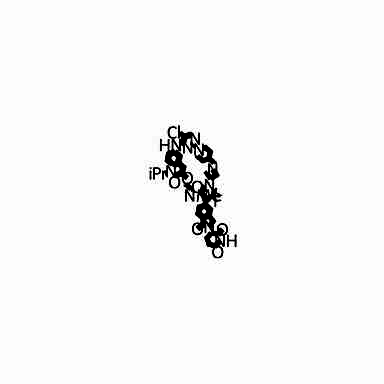 CNC(=O)COc1cc2cc(Nc3nc(N4CCC(CN5CC(N6CCC(c7ccc8c(c7)CN(C7CCC(=O)NC7=O)C8=O)C(F)C6)C5)CC4)ncc3Cl)ccc2n(C(C)C)c1=O